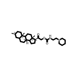 C[C@H]1CC[C@@]2(C)C(CC[C@@H]3C2CC[C@@]2(C)C3CC[C@@H]2C(=O)COC(=O)NCCN2CCCCC2)C1